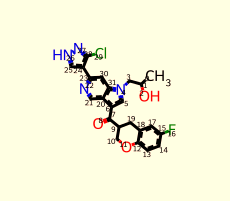 CC(O)Cn1cc(C(=O)C2COc3ccc(F)cc3C2)c2cnc(-c3c[nH]nc3Cl)cc21